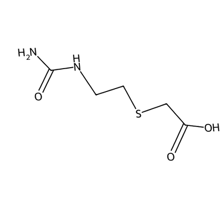 NC(=O)NCCSCC(=O)O